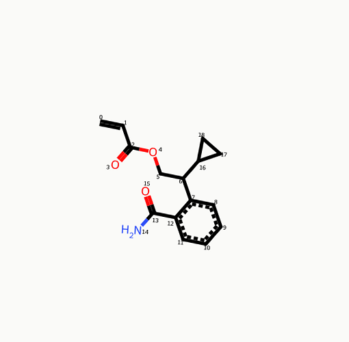 C=CC(=O)OCC(c1ccccc1C(N)=O)C1CC1